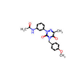 COc1ccc(Cn2c(=O)c(C)nn(-c3cccc(NC(C)=O)c3)c2=O)cc1